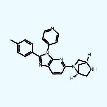 Cc1ccc(-c2nc3ccc(N4C[C@H]5C[C@@H]4CN5)nc3n2-c2ccncc2)cc1